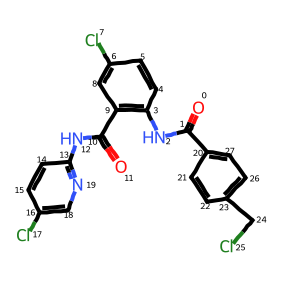 O=C(Nc1ccc(Cl)cc1C(=O)Nc1ccc(Cl)cn1)c1ccc(CCl)cc1